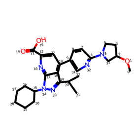 COC1CCN(c2ccc(-c3cc(C(=O)O)nc4c3c(C(C)C)nn4C3CCCCC3)cn2)C1